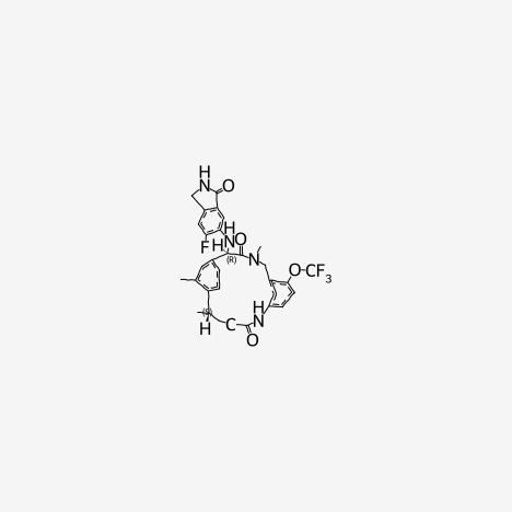 Cc1cc2ccc1[C@@H](C)CCC(=O)Nc1ccc(OC(F)(F)F)c(c1)CN(C)C(=O)[C@@H]2Nc1cc2c(cc1F)CNC2=O